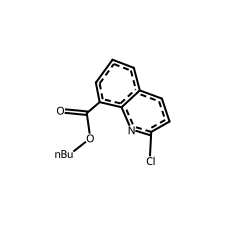 CCCCOC(=O)c1cccc2ccc(Cl)nc12